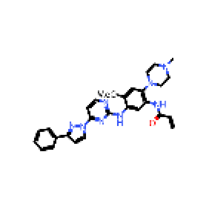 C=CC(=O)Nc1cc(Nc2nccc(-n3ccc(-c4ccccc4)n3)n2)c(OC)cc1N1CCN(C)CC1